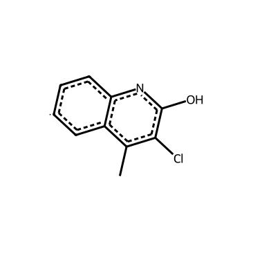 Cc1c(Cl)c(O)nc2cc[c]cc12